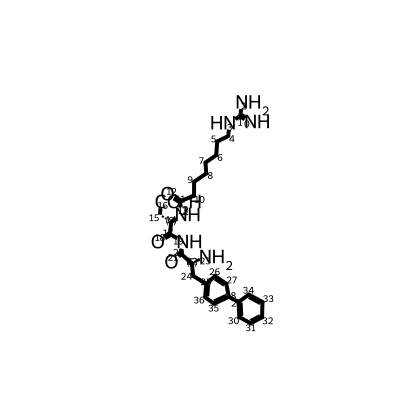 N=C(N)NCCCCCCCC(=O)N[C@@H](CC(=O)O)C(=O)NC(=O)[C@@H](N)Cc1ccc(-c2ccccc2)cc1